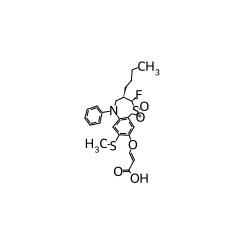 CCCC[C@@H]1CN(c2ccccc2)c2cc(SC)c(O/C=C/C(=O)O)cc2S(=O)(=O)[C@@H]1F